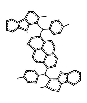 Cc1ccc(N(c2ccc3ccc4c(N(c5ccc(C)cc5)c5c(C)ccc6c5oc5ccccc56)ccc5ccc2c3c54)c2c(C)ccc3c2oc2ccccc23)cc1